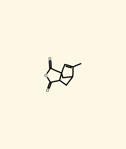 CC1=CC23CC1CC2C(=O)OC3=O